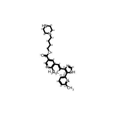 C/C(=C\c1cc(C(=O)OCCCCN2CCNCC2)cnc1C)c1nc[nH]c1-c1cccc(C)n1